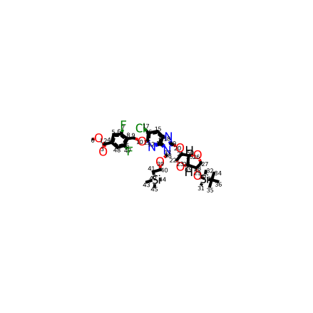 COC(=O)c1cc(F)c(COc2nc3c(cc2Cl)nc(O[C@@H]2CO[C@H]4[C@@H]2OC[C@H]4O[Si](C)(C)C(C)(C)C)n3COCC[Si](C)(C)C)c(F)c1